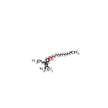 CCCCCCCCCCCCCCCCC(=O)Oc1cc[c]([Sn]([CH2]CCC)([CH2]CCC)[CH2]CCC)cc1